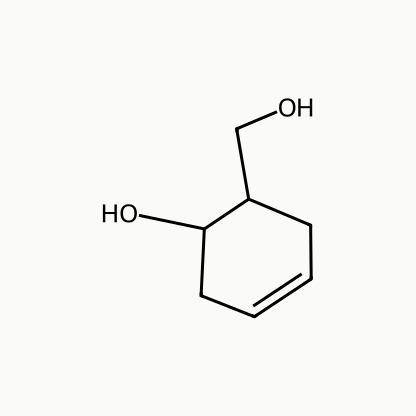 OCC1CC=CCC1O